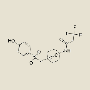 O=C(CC(F)(F)F)NC12CCC(CS(=O)(=O)c3ccc(O)cc3)(CC1)CC2